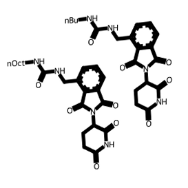 CCCCCCCCNC(=O)NCc1cccc2c1C(=O)N(C1CCC(=O)NC1=O)C2=O.CCCCNC(=O)NCc1cccc2c1C(=O)N(C1CCC(=O)NC1=O)C2=O